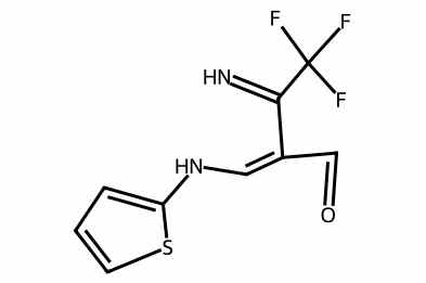 N=C(/C(C=O)=C\Nc1cccs1)C(F)(F)F